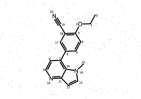 CCOc1ccc(-c2ccnc3ccn(C)c23)cc1C#N